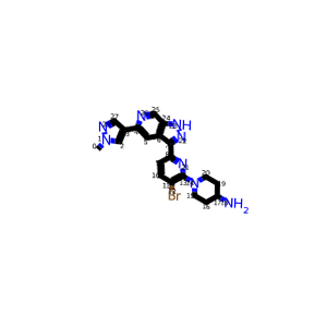 Cn1cc(-c2cc3c(-c4ccc(Br)c(N5CCC(N)CC5)n4)n[nH]c3cn2)cn1